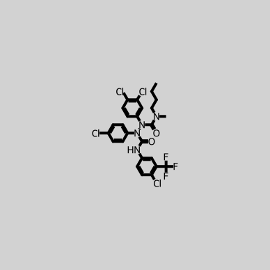 CCCCN(C)C(=O)N(c1ccc(Cl)c(Cl)c1)N(C(=O)Nc1ccc(Cl)c(C(F)(F)F)c1)c1ccc(Cl)cc1